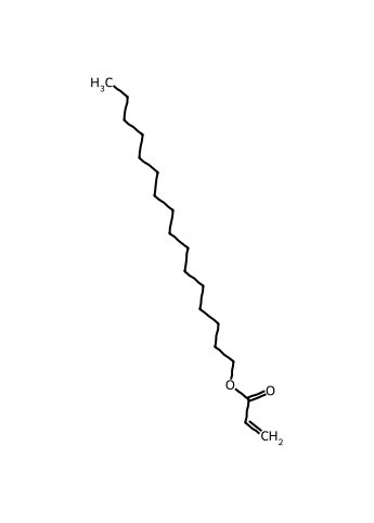 C=CC(=O)OCCCCCCCCCCCCCCCC